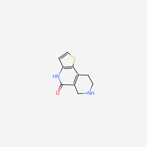 O=c1[nH]c2ccsc2c2c1CNCC2